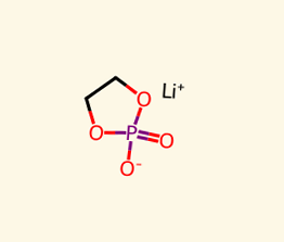 O=P1([O-])OCCO1.[Li+]